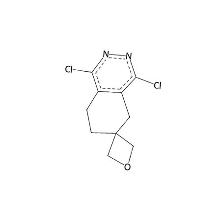 Clc1nnc(Cl)c2c1CCC1(COC1)C2